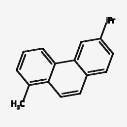 Cc1cccc2c1ccc1ccc(C(C)C)cc12